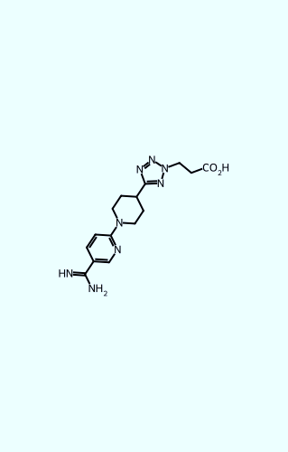 N=C(N)c1ccc(N2CCC(c3nnn(CCC(=O)O)n3)CC2)nc1